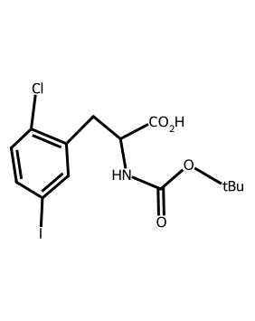 CC(C)(C)OC(=O)NC(Cc1cc(I)ccc1Cl)C(=O)O